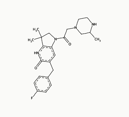 CC1CN(CC(=O)N2CC(C)(C)c3[nH]c(=O)c(Cc4ccc(F)cc4)cc32)CCN1